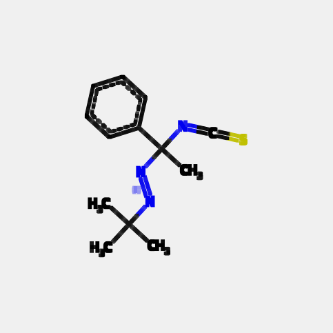 CC(C)(C)/N=N/C(C)(N=C=S)c1ccccc1